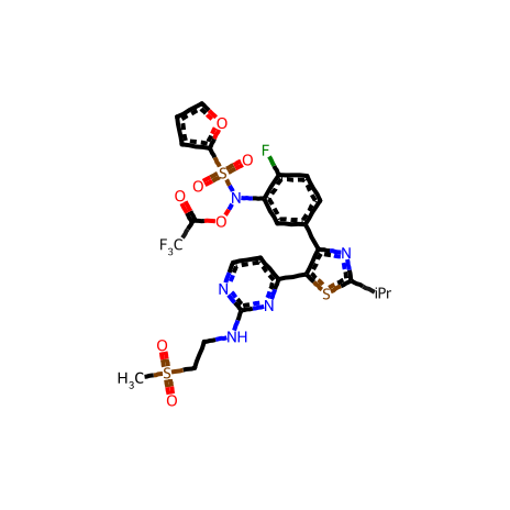 CC(C)c1nc(-c2ccc(F)c(N(OC(=O)C(F)(F)F)S(=O)(=O)c3ccco3)c2)c(-c2ccnc(NCCS(C)(=O)=O)n2)s1